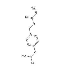 C=CC(=O)OCc1ccc(OB(O)O)cc1